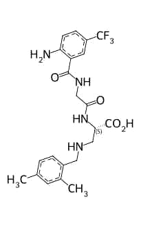 Cc1ccc(CNC[C@H](NC(=O)CNC(=O)c2cc(C(F)(F)F)ccc2N)C(=O)O)c(C)c1